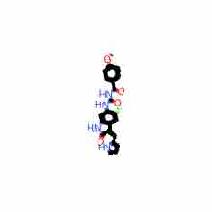 COc1ccc(C(=O)NC(=O)Nc2cc3c(cc2F)C(=Cc2ccc[nH]2)C(=O)N3)cc1